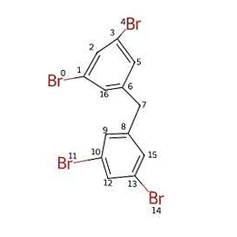 Brc1cc(Br)cc(Cc2cc(Br)cc(Br)c2)c1